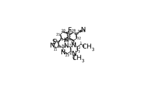 CCC1=CN(C)C2=C(NC(c3cnsc3-c3ccc(F)cc3)N=C2)N1c1cccc(C#N)c1